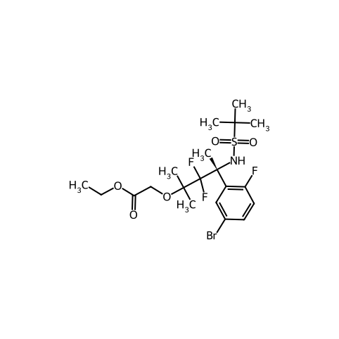 CCOC(=O)COC(C)(C)C(F)(F)[C@](C)(NS(=O)(=O)C(C)(C)C)c1cc(Br)ccc1F